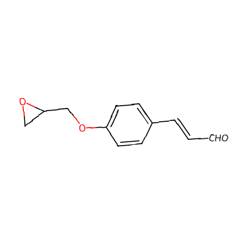 O=C/C=C/c1ccc(OCC2CO2)cc1